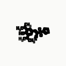 CC(C)c1cc(/C=C(\C#N)S(=O)(=O)c2ccsc2)cc(C(C)C)c1O